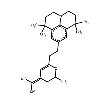 CC1CC(=C(C#N)C#N)C=C(CCc2cc3c4c(c2)C(C)(C)CCN4CCC3(C)C)O1